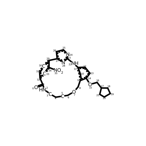 O=C1NCCCCOCc2cc(ccc2OCC2CCCC2)Nc2nccc(n2)-c2ccc1cc2[N+](=O)[O-]